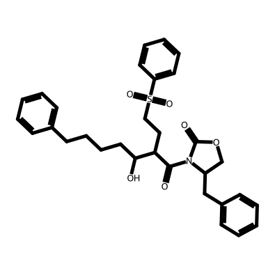 O=C1OCC(Cc2ccccc2)N1C(=O)C(CCS(=O)(=O)c1ccccc1)C(O)CCCCc1ccccc1